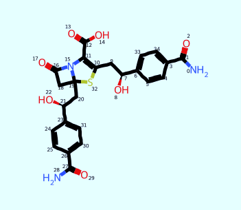 NC(=O)c1ccc([C@@H](O)CC2=C(C(=O)O)N3C(=O)CC3(C[C@H](O)c3ccc(C(N)=O)cc3)S2)cc1